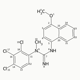 COc1ccc(NC(=N)N(C)c2ccc(Cl)c(Cl)c2Cl)c2ccccc12